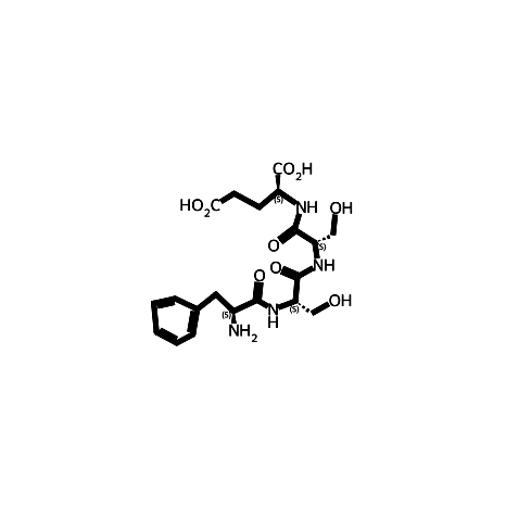 N[C@@H](Cc1ccccc1)C(=O)N[C@@H](CO)C(=O)N[C@@H](CO)C(=O)N[C@@H](CCC(=O)O)C(=O)O